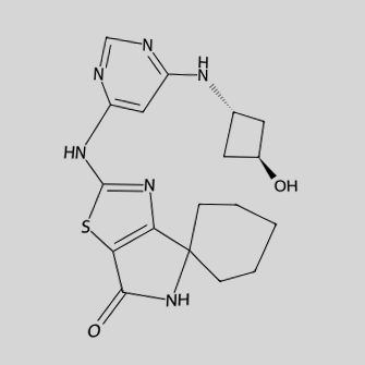 O=C1NC2(CCCCC2)c2nc(Nc3cc(N[C@H]4C[C@H](O)C4)ncn3)sc21